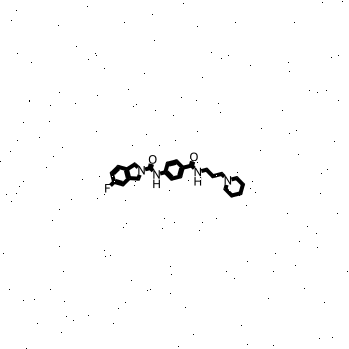 O=C(NCCCN1CCCCC1)c1ccc(NC(=O)N2Cc3ccc(F)cc3C2)cc1